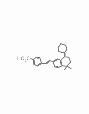 CC1(C)CCC(=C2CCCCC2)c2cc(/C=C/c3ccc(C(=O)O)cc3)ccc21